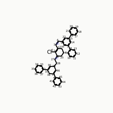 ClC1=C(/C=C\c2cc(-c3ccccc3)cc(-c3ccccc3)c2)CCC/C1=C\CC1C=C(c2ccccc2)CC(c2ccccc2)=C1